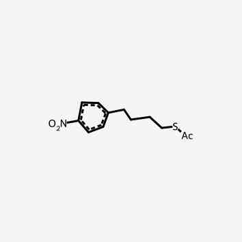 CC(=O)SCCCCc1ccc([N+](=O)[O-])cc1